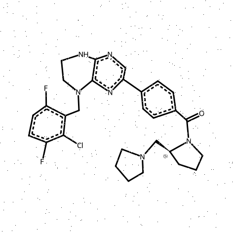 O=C(c1ccc(-c2cnc3c(n2)N(Cc2c(F)ccc(F)c2Cl)CCN3)cc1)N1CCC[C@H]1CN1CCCC1